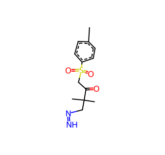 Cc1ccc(S(=O)(=O)CC(=O)C(C)(C)CN=N)cc1